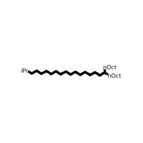 CCCCCCCC[C](CCCCCCCC)CCCCCCCCCCCCCCCC(C)C